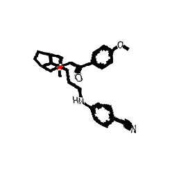 COc1ccc(C(=O)CN(C)C2C3CCC2CN(CCCNc2ccc(C#N)cc2)C3)cc1